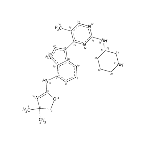 CC1(C)COC(Nc2cccc3c(-c4nc(N[C@H]5CCCNC5)ncc4C(F)(F)F)c[nH]c23)=N1